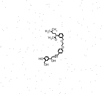 CC(=O)N(CCC(C)C)c1cccc(COCCOc2ccc(CCNC[C@@H](O)c3ccc(O)c(CO)c3)cc2)c1